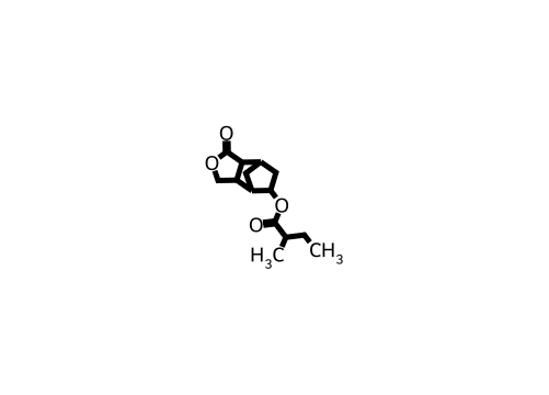 CCC(C)C(=O)OC1CC2CC1C1COC(=O)C21